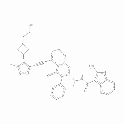 CC(NC(=O)c1c(N)nn2cccnc12)c1cc2cccc(C#Cc3cnn(C)c3C3CN(CCO)C3)c2c(=O)n1-c1ccccc1